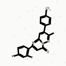 Cc1nn2c(=O)cc(-c3ccc(F)cc3F)nc2cc1-c1ccc(C(F)(F)F)cc1